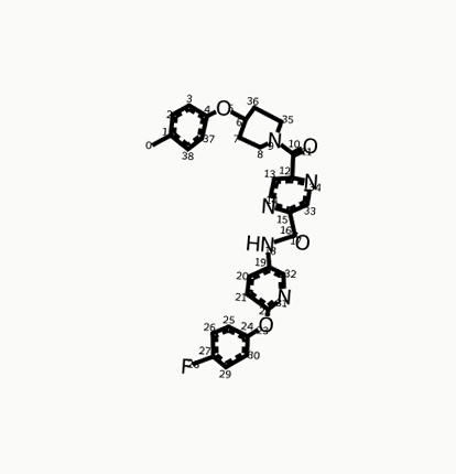 Cc1ccc(OC2CCN(C(=O)c3cnc(C(=O)Nc4ccc(Oc5ccc(F)cc5)nc4)cn3)CC2)cc1